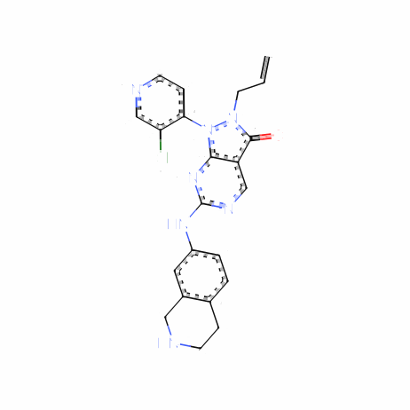 C=CCn1c(=O)c2cnc(Nc3ccc4c(c3)CNCC4)nc2n1-c1ccncc1Cl